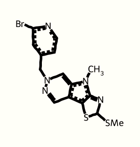 CSC1N=c2c(c3c(n2C)=CN(Cc2ccnc(Br)c2)N=C3)S1